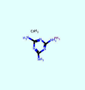 Nc1nc(N)nc(N)n1.P.[CaH2]